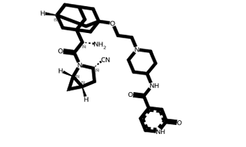 N#C[C@@H]1C[C@@H]2C[C@@H]2N1C(=O)[C@@H](N)C12CC3C[C@H](CC(OCCN4CCC(NC(=O)c5cc[nH]c(=O)c5)CC4)(C3)C1)C2